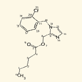 CCCCCC(=O)OCc1nccn1Cc1ccccc1Cl